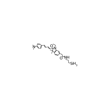 CN(C)c1ccc(/C=C/C=C/C23OCCN2c2cc(CC(=O)NCCC[SiH3])ccc2C3(C)C)cc1